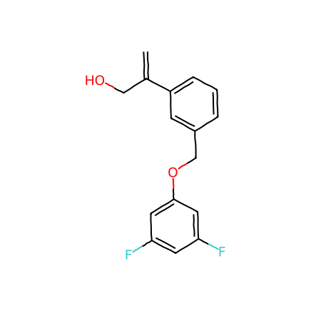 C=C(CO)c1cccc(COc2cc(F)cc(F)c2)c1